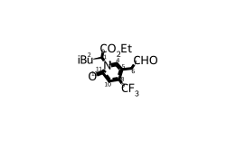 CCOC(=O)C([C@H](C)CC)n1cc(CC=O)c(C(F)(F)F)cc1=O